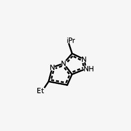 CCc1cc2[nH]nc(C(C)C)n2n1